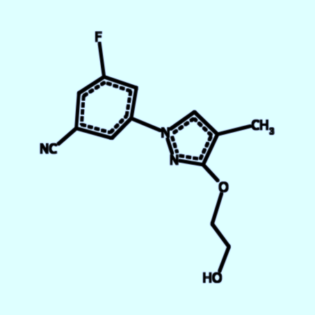 Cc1cn(-c2cc(F)cc(C#N)c2)nc1OCCO